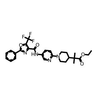 CCOC(=O)C(C)(C)C1CCN(c2ccc(NC(=O)c3nc(-c4ccccc4)oc3C(F)(F)F)cn2)CC1